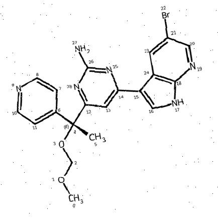 COCO[C@](C)(c1ccncc1)c1cc(-c2c[nH]c3ncc(Br)cc23)nc(N)n1